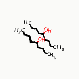 CCCCC(O)CCCC.CCCCC(O)CCCC